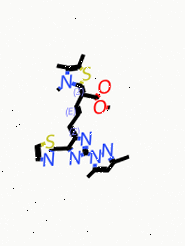 COC(=O)C(/C=C/C=C1\N=C(n2nc(C)cc2C)N=C1c1nccs1)=C1\SC(C)=C(C)N1C